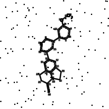 FC(F)(F)Oc1cccc(-c2cncc(-c3cc4c5c(c3)CCN5C(=S)CC4)c2)c1